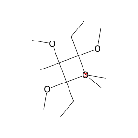 CCC(CC)(OC)C(C)(OC)C(CC)(OC)OC